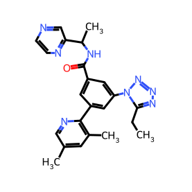 CCc1nnnn1-c1cc(C(=O)NC(C)c2cnccn2)cc(-c2ncc(C)cc2C)c1